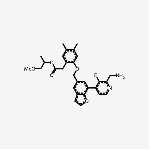 COCC(C)OC(=O)Cc1cc(C)c(C)cc1OCc1cc(-c2ccnc(CN)c2F)c2occc2c1